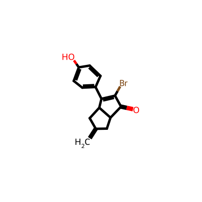 C=C1CC2C(=O)C(Br)=C(c3ccc(O)cc3)C2C1